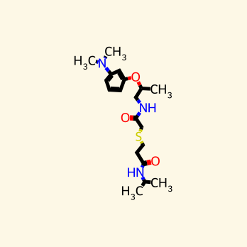 CC(C)NC(=O)CCSCC(=O)NCC(C)Oc1cccc(N(C)C)c1